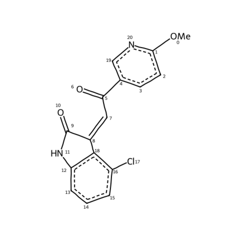 COc1ccc(C(=O)C=C2C(=O)Nc3cccc(Cl)c32)cn1